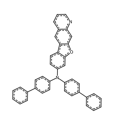 c1ccc(-c2ccc(N(c3ccc(-c4ccccc4)cc3)c3ccc4c(c3)oc3cc5ncccc5cc34)cc2)cc1